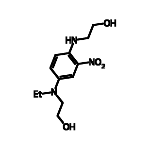 CCN(CCO)c1ccc(NCCO)c([N+](=O)[O-])c1